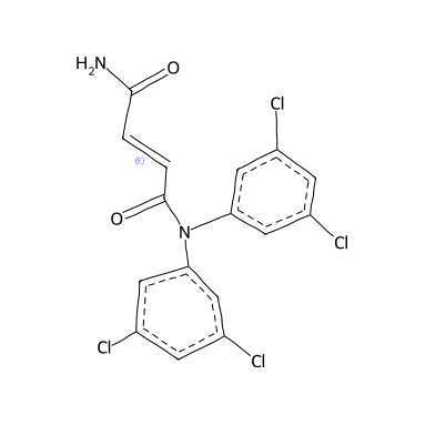 NC(=O)/C=C/C(=O)N(c1cc(Cl)cc(Cl)c1)c1cc(Cl)cc(Cl)c1